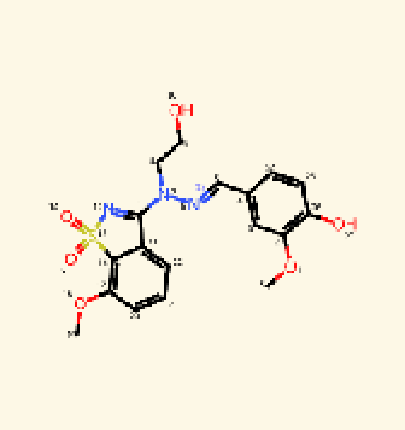 COc1cc(/C=N/N(CCO)C2=NS(=O)(=O)c3c(OC)cccc32)ccc1O